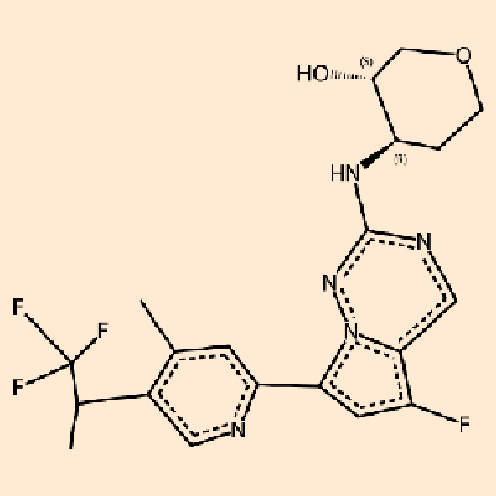 Cc1cc(-c2cc(F)c3cnc(N[C@@H]4CCOC[C@H]4O)nn23)ncc1C(C)C(F)(F)F